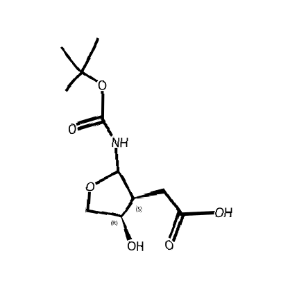 CC(C)(C)OC(=O)NC1OC[C@H](O)[C@@H]1CC(=O)O